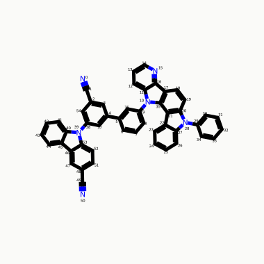 N#Cc1cc(-c2cccc(-n3c4cccnc4c4ccc5c(c6ccccc6n5-c5ccccc5)c43)c2)cc(-n2c3ccccc3c3cc(C#N)ccc32)c1